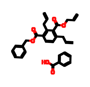 C=CCOC(=O)c1c(CC=C)ccc(C(=O)OCc2ccccc2)c1CC=C.O=C(O)c1ccccc1